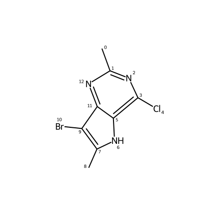 Cc1nc(Cl)c2[nH]c(C)c(Br)c2n1